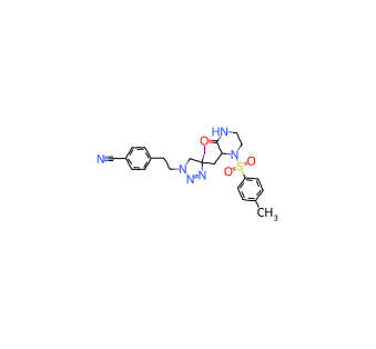 Cc1ccc(S(=O)(=O)N2CCNC(=O)C2CC2(I)CN(CCc3ccc(C#N)cc3)N=N2)cc1